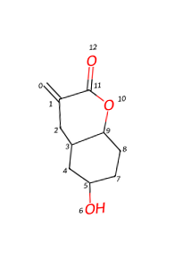 C=C1CC2CC(O)CCC2OC1=O